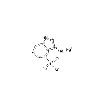 O=S(=O)([O-])c1cccc2[nH]nnc12.[Ag+].[KH]